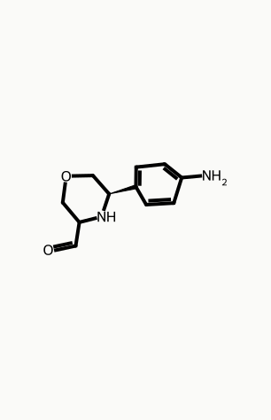 Nc1ccc([C@@H]2COCC(C=O)N2)cc1